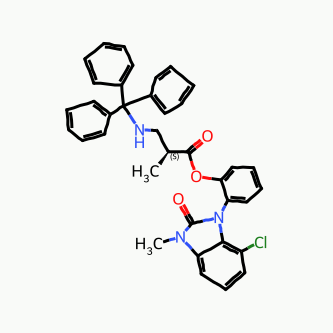 C[C@@H](CNC(c1ccccc1)(c1ccccc1)c1ccccc1)C(=O)Oc1ccccc1-n1c(=O)n(C)c2cccc(Cl)c21